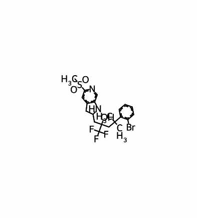 CC(C)(CC(O)(CC1Cc2cc(S(C)(=O)=O)ncc2N1)C(F)(F)F)c1ccccc1Br